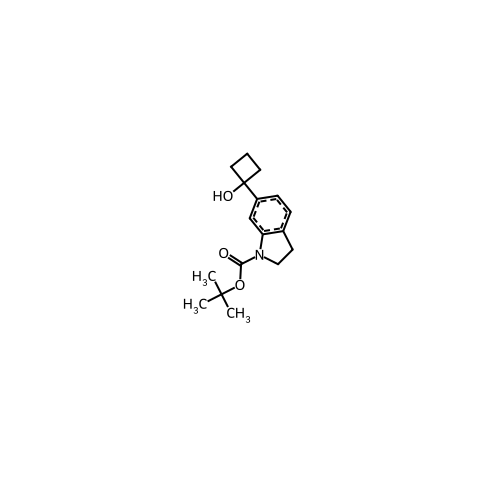 CC(C)(C)OC(=O)N1CCc2ccc(C3(O)CCC3)cc21